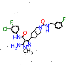 Cn1nc(C2CC3CN(C(=O)NCc4cccc(F)c4)CC3C2)c(C(=O)Nc2ccc(F)c(Cl)c2)c1N